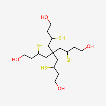 OCCC(S)CC(CC(S)CCO)(CC(S)CCO)CC(S)CCO